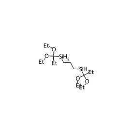 CCOC(CC)(OCC)[SiH2]CCC[SiH2]C(CC)(OCC)OCC